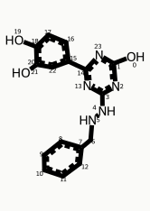 Oc1nc(NNCc2ccccc2)nc(-c2ccc(O)c(O)c2)n1